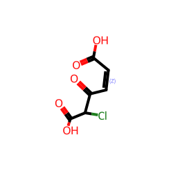 O=C(O)/C=C\C(=O)C(Cl)C(=O)O